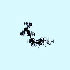 O=C(O)CC[C@H](NC(=O)N[C@@H](CCCCNC(=O)[C@H](CCC(=O)O)NC(=O)CCCCCNC(=S)Nc1ccc(C2N(CC/N=C/c3ccccc3O)CCN2CC/N=C/c2ccccc2O)cc1)C(=O)O)C(=O)O